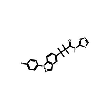 CC(C)(C(=O)Nc1nncs1)C(C)(C)c1ccc2c(cnn2-c2ccc(F)cc2)c1